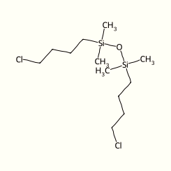 C[Si](C)(CCCCCl)O[Si](C)(C)CCCCCl